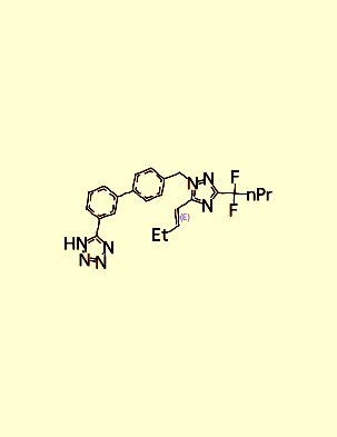 CC/C=C/c1nc(C(F)(F)CCC)nn1Cc1ccc(-c2cccc(-c3nnn[nH]3)c2)cc1